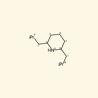 CC(C)CC1CCCC(CC(C)C)N1